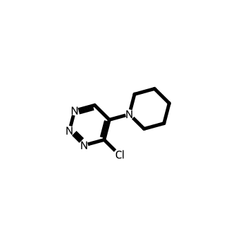 Clc1nnncc1N1CCCCC1